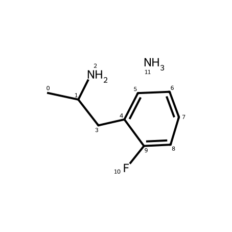 CC(N)Cc1ccccc1F.N